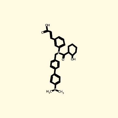 CN(C)c1ccc(-c2ccc(CN(C(=O)C3CCCCC3O)c3cccc(/C=C/C(=O)O)c3)cc2)cc1